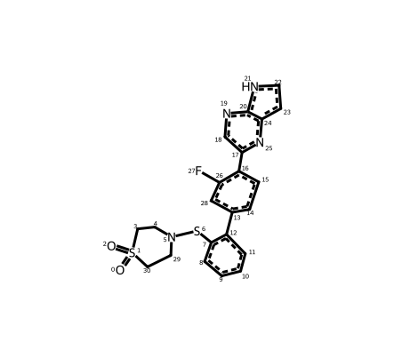 O=S1(=O)CCN(Sc2ccccc2-c2ccc(-c3cnc4[nH]ccc4n3)c(F)c2)CC1